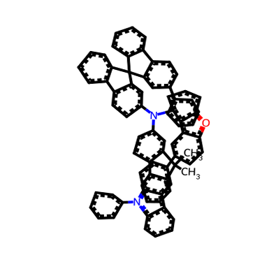 CC1(C)c2ccccc2-c2ccc(N(c3ccc4c(c3)C3(c5ccccc5-c5ccc(-c6ccccc6)cc53)c3ccccc3-4)c3cccc4oc5ccc(-c6ccc7c(c6)c6ccccc6n7-c6ccccc6)cc5c34)cc21